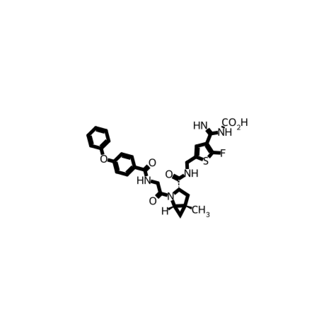 C[C@@]12C[C@@H]1N(C(=O)CNC(=O)c1ccc(Oc3ccccc3)cc1)[C@H](C(=O)NCc1cc(C(=N)NC(=O)O)c(F)s1)C2